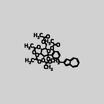 COC1(c2cc(Cc3cc4cccccc-4c3)ccc2OC(C)=O)O[C@H](COC(C)=O)[C@@H](OC(C)=O)[C@H](OC(C)=O)[C@H]1OC(C)=O